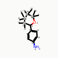 C[Si]1(C)OC(c2ccc(N)cc2)[Si](C)(C)[Si](C)(C)[Si]1(C)C